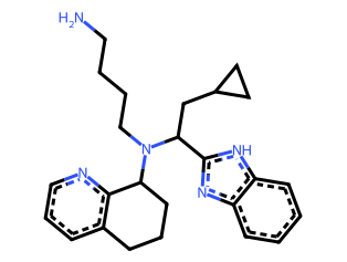 NCCCCN(C(CC1CC1)c1nc2ccccc2[nH]1)C1CCCc2cccnc21